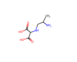 CC(N)CNC(C(=O)O)C(=O)O